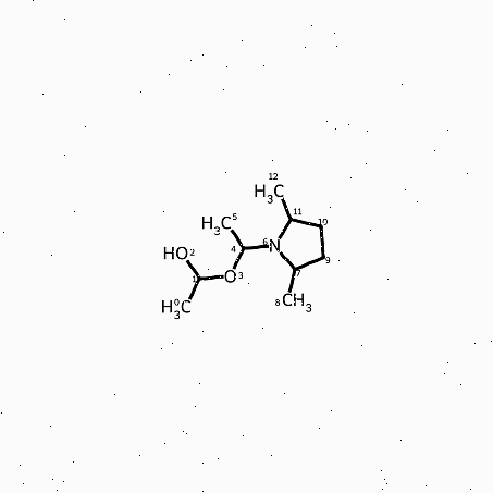 CC(O)OC(C)N1C(C)CCC1C